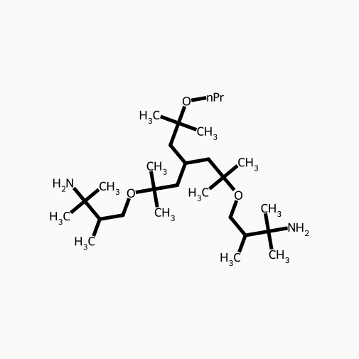 CCCOC(C)(C)CC(CC(C)(C)OCC(C)C(C)(C)N)CC(C)(C)OCC(C)C(C)(C)N